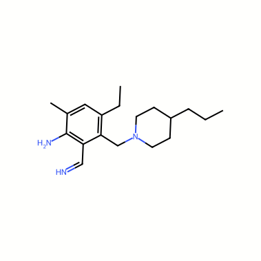 CCCC1CCN(Cc2c(CC)cc(C)c(N)c2C=N)CC1